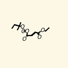 CCOC(=O)C=CC(=O)OOOC(C)(C)CC